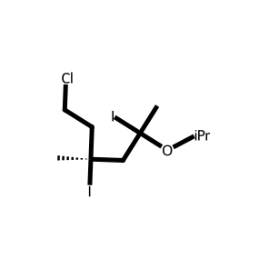 CC(C)OC(C)(I)C[C@@](C)(I)CCCl